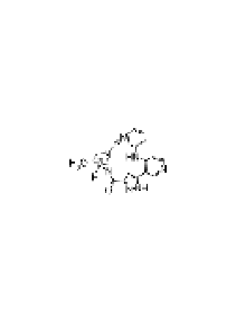 CC1CN(C#N)C2[C@@H]1N2C(=O)c1cc(-c2cnccc2Nc2ccccc2)[nH]n1